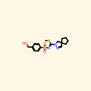 CS/C(=N\S(=O)(=O)c1ccc(CO)cc1)N1CC2(C=N1)CCCC2